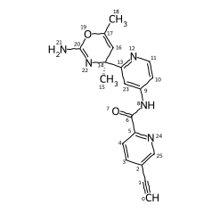 C#Cc1ccc(C(=O)Nc2ccnc([C@]3(C)C=C(C)OC(N)=N3)c2)nc1